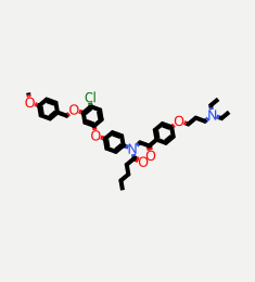 CCCCC(=O)N(CC(=O)c1ccc(OCCCN(CC)CC)cc1)c1ccc(Oc2ccc(Cl)c(OCc3ccc(OC)cc3)c2)cc1